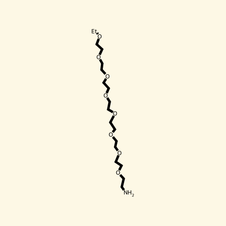 CCOCCOCCOCCOCCOCCOCCOCCOCCN